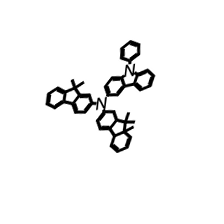 CC1(C)c2ccccc2-c2ccc(N(C3=CC=C4C(C3)C(C)(C)C3(C)C=CC=CC43)c3ccc4c(c3)c3ccccc3n4-c3ccccc3)cc21